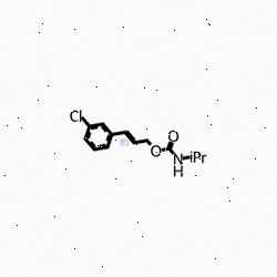 CC(C)NC(=O)OC/C=C/c1cccc(Cl)c1